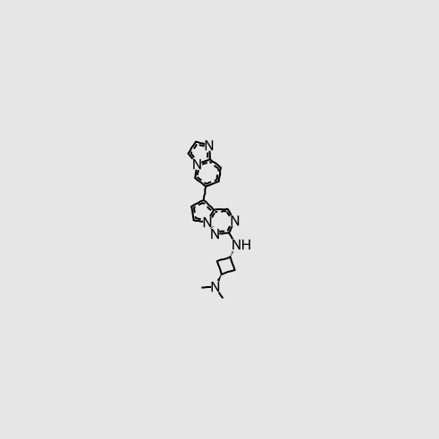 CN(C)[C@H]1C[C@H](Nc2ncc3c(-c4ccc5nccn5c4)ccn3n2)C1